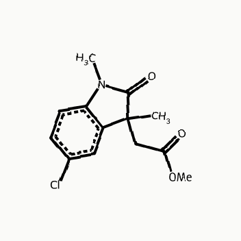 COC(=O)CC1(C)C(=O)N(C)c2ccc(Cl)cc21